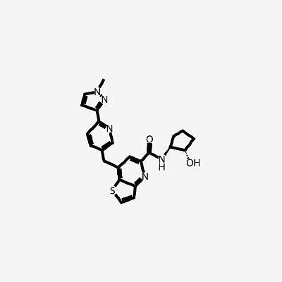 Cn1ccc(-c2ccc(Cc3cc(C(=O)N[C@H]4CCC[C@@H]4O)nc4ccsc34)cn2)n1